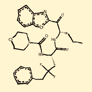 CCC[C@H](NC(=O)[C@H](CC(F)(F)Cc1ccccc1)NC(=O)N1CCOCC1)C(=O)c1nc2ccccc2o1